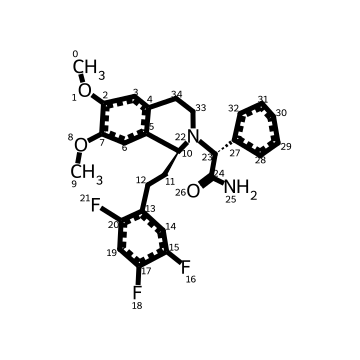 COc1cc2c(cc1OC)[C@H](CCc1cc(F)c(F)cc1F)N([C@@H](C(N)=O)c1ccccc1)CC2